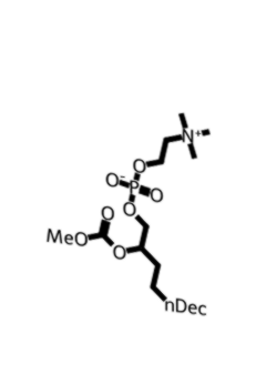 CCCCCCCCCCCCC(COP(=O)([O-])OCC[N+](C)(C)C)OC(=O)OC